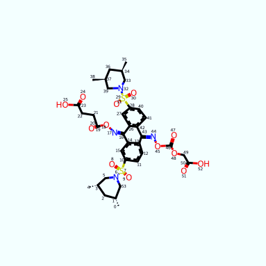 C[C@@H]1C[C@H](C)CN(S(=O)(=O)c2ccc3c(c2)C(=NOC(=O)CCC(=O)O)c2cc(S(=O)(=O)N4C[C@H](C)C[C@H](C)C4)ccc2C3=NOC(=O)OCC(=O)O)C1